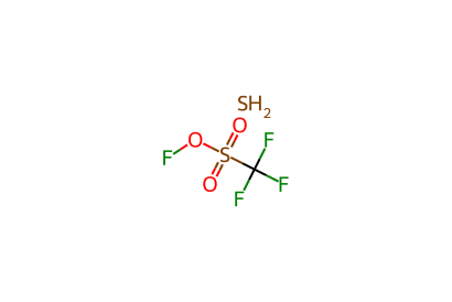 O=S(=O)(OF)C(F)(F)F.S